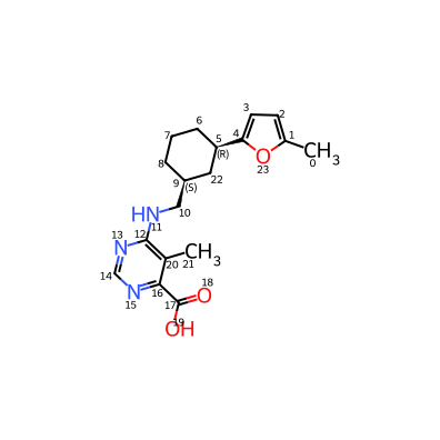 Cc1ccc([C@@H]2CCC[C@H](CNc3ncnc(C(=O)O)c3C)C2)o1